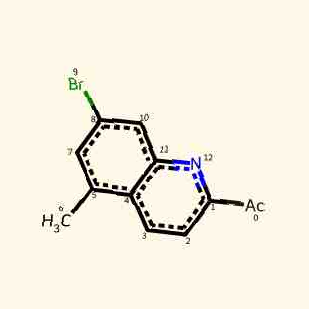 CC(=O)c1ccc2c(C)cc(Br)cc2n1